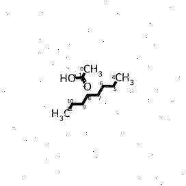 CC(=O)O.CCCCCCCC